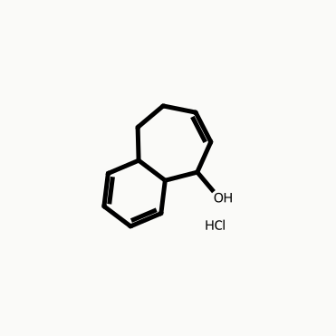 Cl.OC1C=CCCC2C=CC=CC12